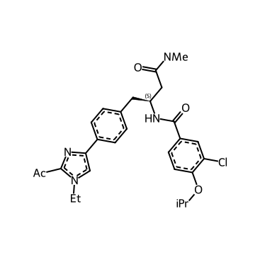 CCn1cc(-c2ccc(C[C@@H](CC(=O)NC)NC(=O)c3ccc(OC(C)C)c(Cl)c3)cc2)nc1C(C)=O